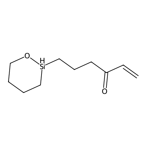 C=CC(=O)CCC[SiH]1CCCCO1